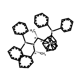 C[C@H](c1ccccc1)N([C@H](C)[C@@]12[CH]3[CH]4[CH]5[C]1(P(c1ccccc1)c1ccccc1)[Fe]45321678[CH]2[CH]1[CH]6[CH]7[CH]28)P(c1ccccc1)c1ccccc1